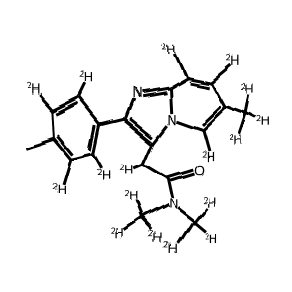 [2H]c1c([2H])c(-c2nc3c([2H])c([2H])c(C([2H])([2H])[2H])c([2H])n3c2C([2H])C(=O)N(C([2H])([2H])[2H])C([2H])([2H])[2H])c([2H])c([2H])c1C